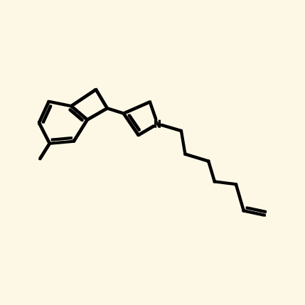 C=CCCCCCN1C=C(C2Cc3ccc(C)cc32)C1